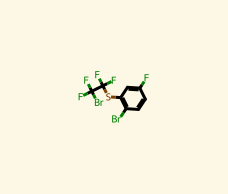 Fc1ccc(Br)c(SC(F)(F)C(F)(F)Br)c1